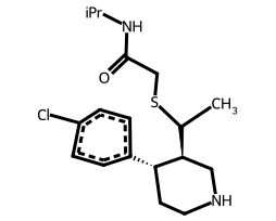 CC(C)NC(=O)CSC(C)[C@H]1CNCC[C@@H]1c1ccc(Cl)cc1